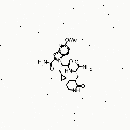 COc1ccc2c(cc(C(N)=O)n2[C@@H](CC2CC2)C(=O)N[C@@H](C[C@@H]2CCCNC2=O)C(N)=O)n1